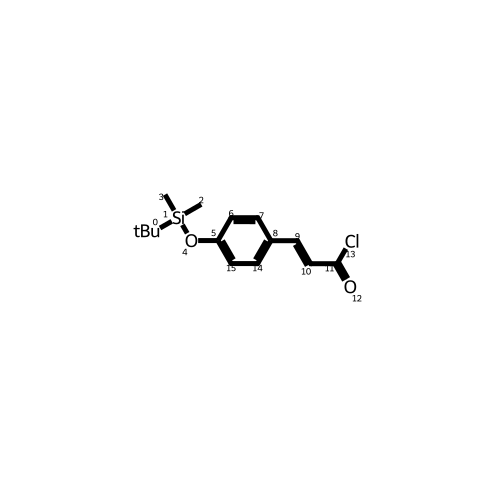 CC(C)(C)[Si](C)(C)Oc1ccc(/C=C/C(=O)Cl)cc1